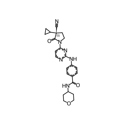 N#C[C@@]1(C2CC2)CCN(c2ccnc(Nc3ccc(C(=O)NC4CCOCC4)cc3)n2)C1=O